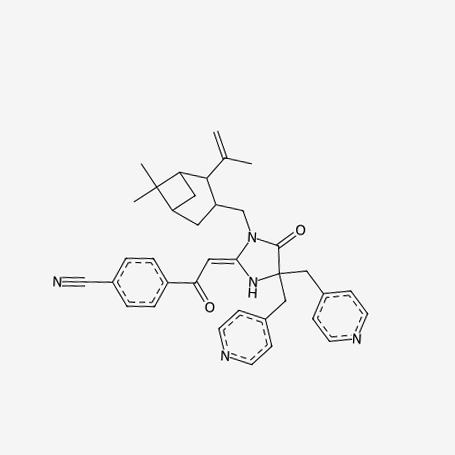 C=C(C)C1C(CN2C(=O)C(Cc3ccncc3)(Cc3ccncc3)NC2=CC(=O)c2ccc(C#N)cc2)CC2CC1C2(C)C